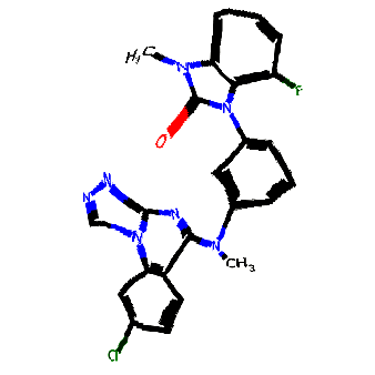 CN(c1cccc(-n2c(=O)n(C)c3cccc(F)c32)c1)c1nc2nncn2c2cc(Cl)ccc12